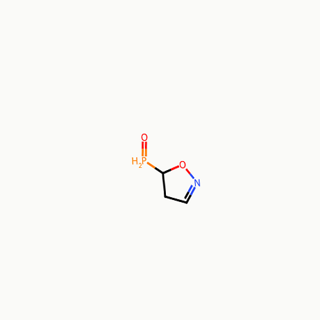 O=[PH2]C1CC=NO1